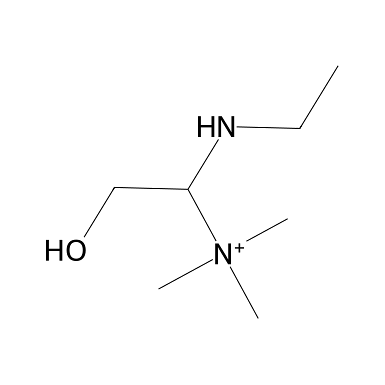 CCNC(CO)[N+](C)(C)C